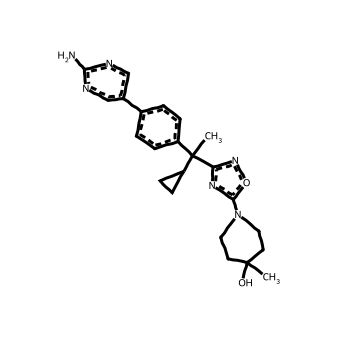 CC1(O)CCN(c2nc(C(C)(c3ccc(-c4cnc(N)nc4)cc3)C3CC3)no2)CC1